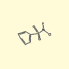 O=S(=O)(c1ccccc1)N(F)Cl